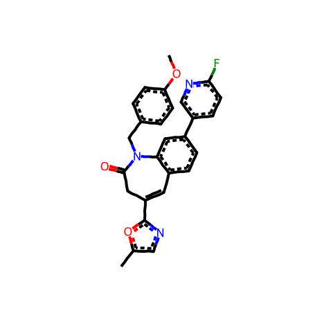 COc1ccc(CN2C(=O)CC(c3ncc(C)o3)=Cc3ccc(-c4ccc(F)nc4)cc32)cc1